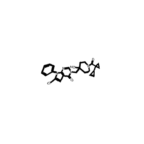 O=C(N1CCC(O)(Cn2cnc3c(cc(Cl)n3-c3ccccc3)c2=O)CC1)C1(C2CC2)CC1